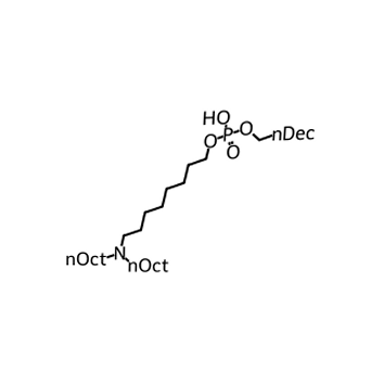 CCCCCCCCCCCOP(=O)(O)OCCCCCCCCN(CCCCCCCC)CCCCCCCC